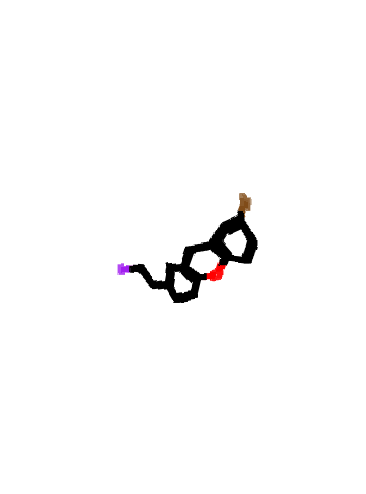 Brc1ccc2c(c1)Cc1cc(CCI)ccc1O2